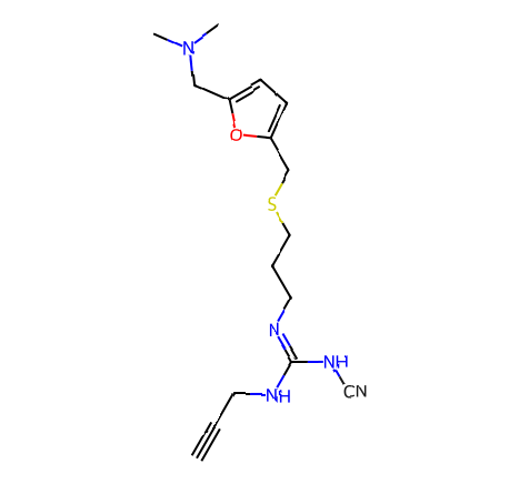 C#CCN/C(=N/CCCSCc1ccc(CN(C)C)o1)NC#N